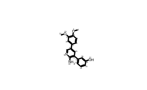 COc1ccc(-c2cnc(N)c(-c3cccc(O)c3)c2)cc1OC